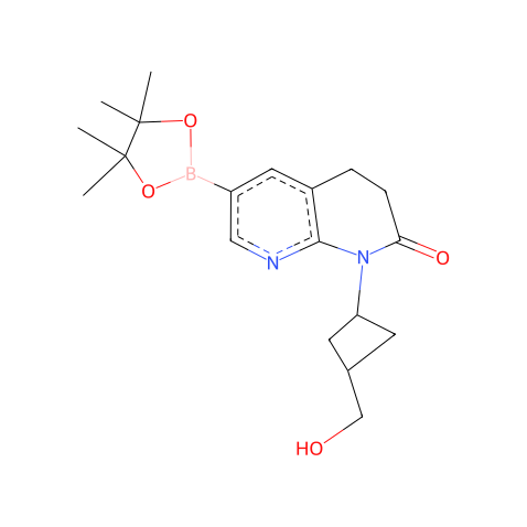 CC1(C)OB(c2cnc3c(c2)CCC(=O)N3C2CC(CO)C2)OC1(C)C